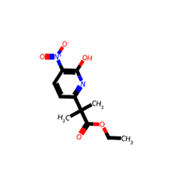 CCOC(=O)C(C)(C)c1ccc([N+](=O)[O-])c(O)n1